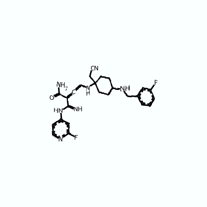 N#CCC1(NC=C=C(C(=N)Nc2ccnc(F)c2)C(N)=O)CCC(NCc2cccc(F)c2)CC1